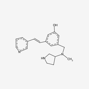 CN(Cc1cc(O)cc(/C=C/c2cccnc2)c1)C1CCNC1